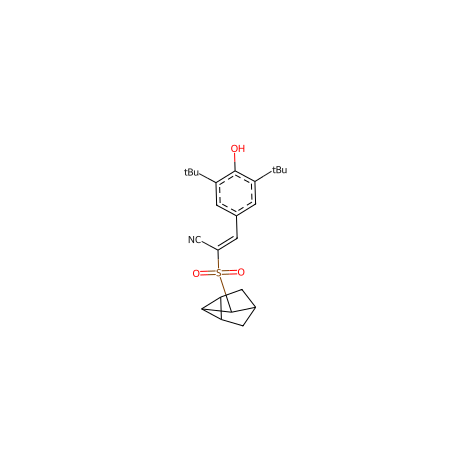 CC(C)(C)c1cc(C=C(C#N)S(=O)(=O)C2C3CC4C(C3)C42)cc(C(C)(C)C)c1O